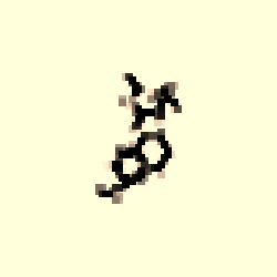 CCOC(=C[C@@H]1CCCc2cc(OC)ccc21)O[Si](C)(C)C